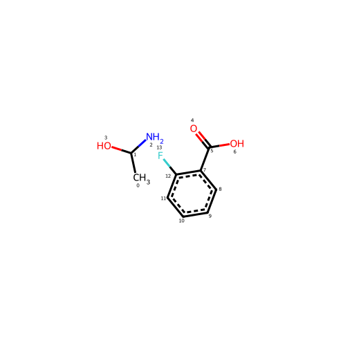 CC(N)O.O=C(O)c1ccccc1F